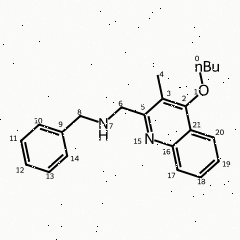 CCCCOc1c(C)c(CNCc2ccccc2)nc2ccccc12